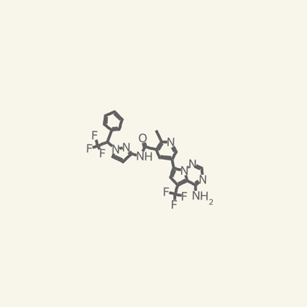 Cc1ncc(-c2cc(C(F)(F)F)c3c(N)ncnn23)cc1C(=O)Nc1ccn(C(c2ccccc2)C(F)(F)F)n1